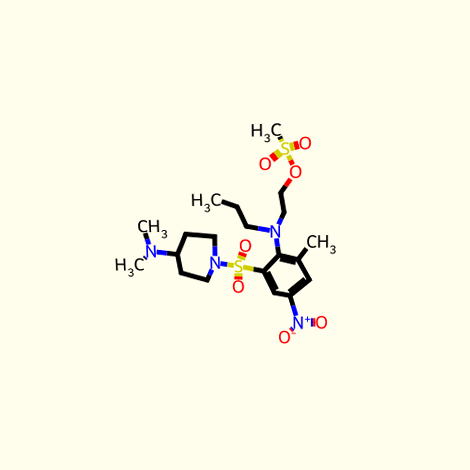 CCCN(CCOS(C)(=O)=O)c1c(C)cc([N+](=O)[O-])cc1S(=O)(=O)N1CCC(N(C)C)CC1